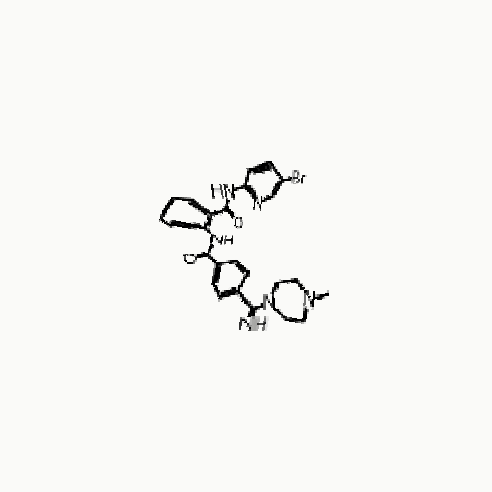 CN1CCN(C(=N)c2ccc(C(=O)Nc3ccccc3C(=O)Nc3ccc(Br)cn3)cc2)CC1